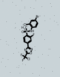 CP(=O)(Nc1ccc(Br)cc1Cl)c1ccc(-c2noc(C(F)(F)Cl)n2)cc1F